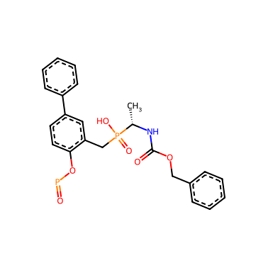 C[C@H](NC(=O)OCc1ccccc1)P(=O)(O)Cc1cc(-c2ccccc2)ccc1OP=O